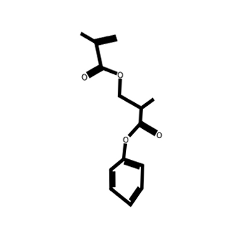 C=C(C)C(=O)OCC(C)C(=O)Oc1ccccc1